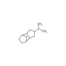 CC(C)C1CC2C3CCC(C3)C2C1